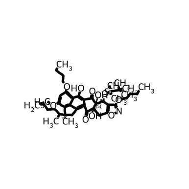 C=CCCC(C)[C@]1(C)Cc2c3c(c(O)c4c(OCCCC)cc(OC)c1c24)C(=O)[C@]1(O)[C@H](O[Si](C)(C)C(C)(C)C)c2c(OCCCC)noc2C[C@]1(O)C3=O